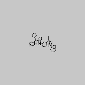 O=C(Nc1ccc2c(c1)c(I)nn2C1CCCCO1)C(c1ccsc1)C1CCCC1